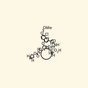 COCCOc1ccc2c(O[C@@H]3C[C@H]4C(=O)N[C@]5(C(=O)O)C[C@H]5CCCCCCC[C@H](NC(=O)O[C@@H]5C[C@@H]6C[C@@H]6C5)C(=O)N4C3)cc(-c3coc(NC(C)C)n3)nc2c1Cl